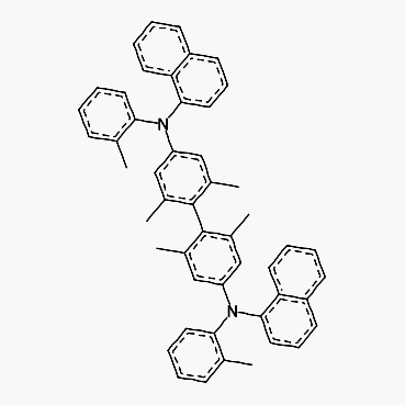 Cc1ccccc1N(c1cc(C)c(-c2c(C)cc(N(c3ccccc3C)c3cccc4ccccc34)cc2C)c(C)c1)c1cccc2ccccc12